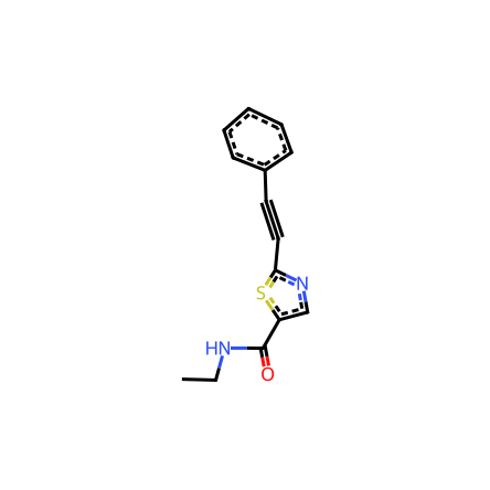 CCNC(=O)c1cnc(C#Cc2ccccc2)s1